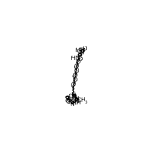 Cc1nc(Nc2ncc(C(=O)Nc3c(C)cccc3Cl)s2)cc(N2CCN(CCCCCCOCCOCCOCCOCCOCCOCC(=O)Nc3ccc(N4CCC(=O)NC4=O)cc3)CC2)n1